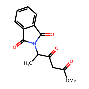 COC(=O)CC(=O)C(C)N1C(=O)c2ccccc2C1=O